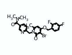 Cc1cc(OCc2ccc(F)cc2F)c(Br)c(=O)n1Cc1ccc(C(=O)N(C)C)cn1